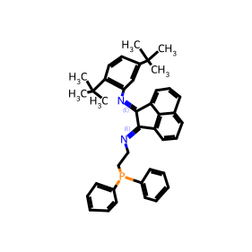 CC(C)(C)c1ccc(C(C)(C)C)c(/N=C2/C(=N/CCP(c3ccccc3)c3ccccc3)c3cccc4cccc2c34)c1